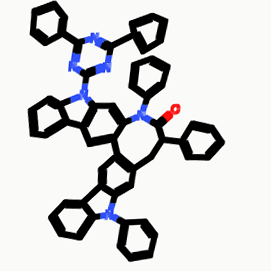 O=C1C(c2ccccc2)Cc2cc3c(cc2-c2cc4c5ccccc5n(-c5nc(-c6ccccc6)nc(-c6ccccc6)n5)c4cc2N1c1ccccc1)c1ccccc1n3-c1ccccc1